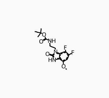 COc1cc(F)c(F)c2c1[nH]c(=O)n2CCNC(=O)OC(C)(C)C